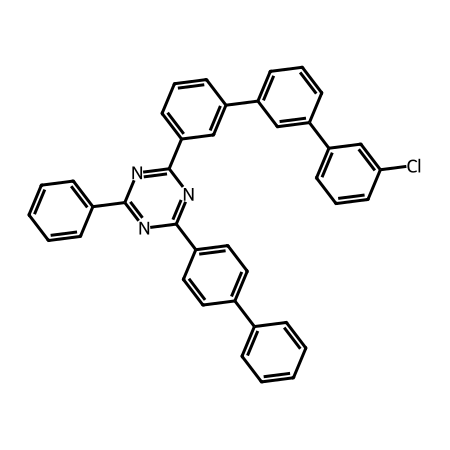 Clc1cccc(-c2cccc(-c3cccc(-c4nc(-c5ccccc5)nc(-c5ccc(-c6ccccc6)cc5)n4)c3)c2)c1